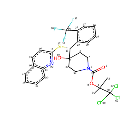 CC(C)(OC(=O)N1CCC(O)([C@H](Sc2ccc3ccccc3n2)c2ccccc2C(F)(F)F)CC1)C(Cl)(Cl)Cl